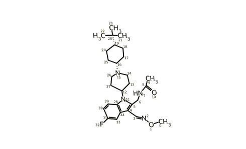 CON=Cc1c(CNC(C)=O)n(C2CCN([C@H]3CC[C@@H](C(C)(C)C)CC3)CC2)c2ccc(F)cc12